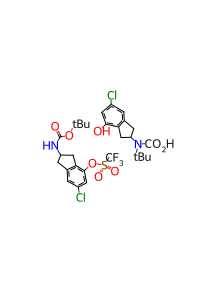 CC(C)(C)N(C(=O)O)C1Cc2cc(Cl)cc(O)c2C1.CC(C)(C)OC(=O)NC1Cc2cc(Cl)cc(OS(=O)(=O)C(F)(F)F)c2C1